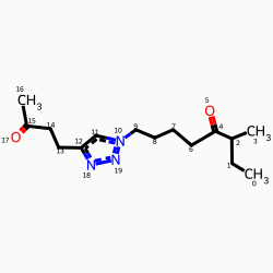 CCC(C)C(=O)CCCCn1cc(CCC(C)=O)nn1